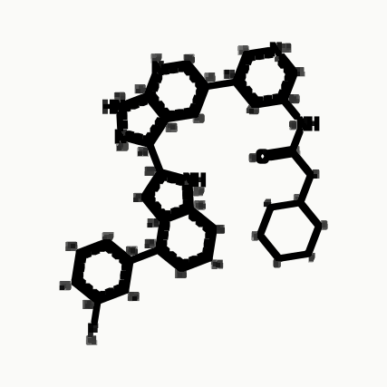 O=C(CC1CCCCC1)Nc1cncc(-c2cnc3[nH]nc(-c4cc5c(-c6cccc(F)c6)cccc5[nH]4)c3c2)c1